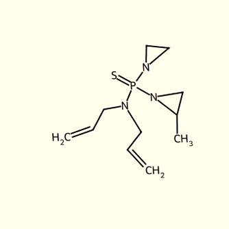 C=CCN(CC=C)P(=S)(N1CC1)N1CC1C